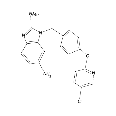 CNc1nc2ccc(N)cc2n1Cc1ccc(Oc2ccc(Cl)cn2)cc1